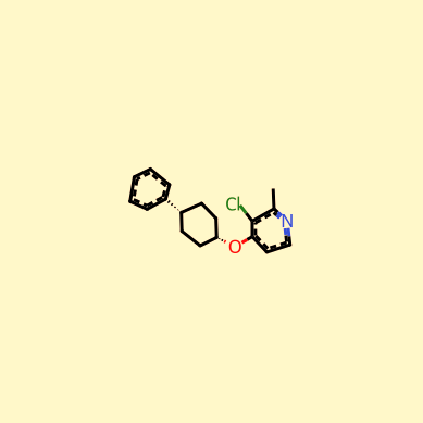 Cc1nccc(O[C@H]2CC[C@@H](c3ccccc3)CC2)c1Cl